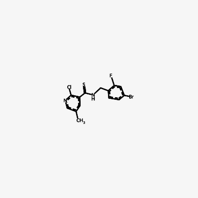 Cc1cnc(Cl)c(C(=S)NCc2ccc(Br)cc2F)c1